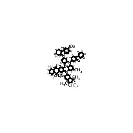 Cc1cc2c3c(c1)N(c1cc4c(cc1C)C(C)(C)CC4(C)C)c1cc4c(cc1B3c1ccc(N3c5ccc(C(C)(C)C)cc5C5(C)CCCCC35C)cc1N2c1ccc2c(c1)sc1ccccc12)C(C)(C)c1ccccc1C4(C)C